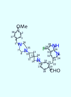 COc1ccc(CN2CCN(C3CC4(C3)CN(c3ccc(C=O)c(Cc5cnc6[nH]cc(F)c6c5)c3)C4)CC2)cc1